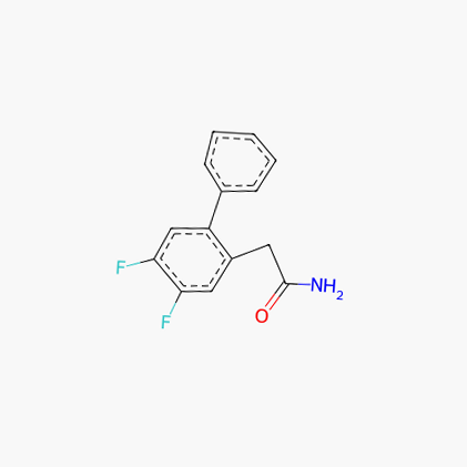 NC(=O)Cc1cc(F)c(F)cc1-c1ccccc1